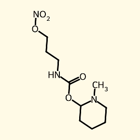 CN1CCCCC1OC(=O)NCCCO[N+](=O)[O-]